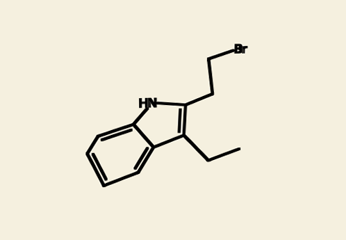 CCc1c(CCBr)[nH]c2ccccc12